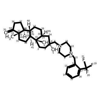 C[C@]12CC[C@](O)(CN3CCN(Cc4ccccc4C(F)(F)F)CC3)C[C@@H]1CC[C@@H]1[C@@H]2CC[C@]2(C)C(=O)CC[C@@H]12